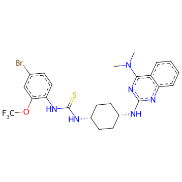 CN(C)c1nc(N[C@H]2CC[C@@H](NC(=S)Nc3ccc(Br)cc3OC(F)(F)F)CC2)nc2ccccc12